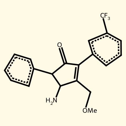 COCC1=C(c2cccc(C(F)(F)F)c2)C(=O)C(c2ccccc2)C1N